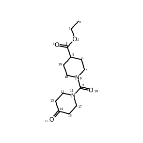 CCOC(=O)C1CCN(C(=O)N2CCC(=O)CC2)CC1